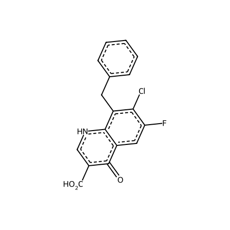 O=C(O)c1c[nH]c2c(Cc3ccccc3)c(Cl)c(F)cc2c1=O